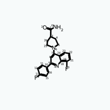 NC(=O)C1CCN(c2cc(-c3ccc(F)cc3)nc3c(F)cccc23)CC1